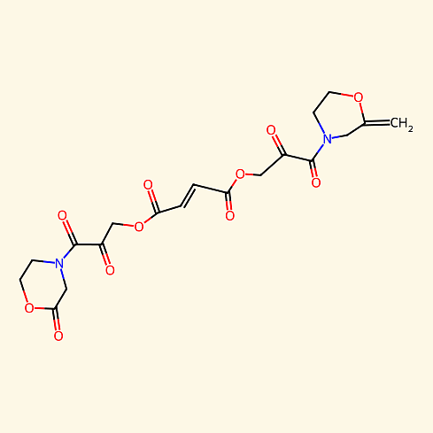 C=C1CN(C(=O)C(=O)COC(=O)/C=C/C(=O)OCC(=O)C(=O)N2CCOC(=O)C2)CCO1